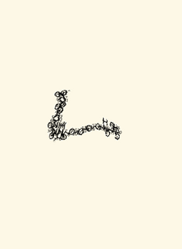 CC(C)C(NC(=O)CCOCCOCCOCCOCCNC(=O)CCN1C(=O)C=CC1=O)C(=O)N[C@@H](C)C(=O)Nc1ccc(COC(=O)Oc2ccc([N+](=O)[O-])cc2)cc1